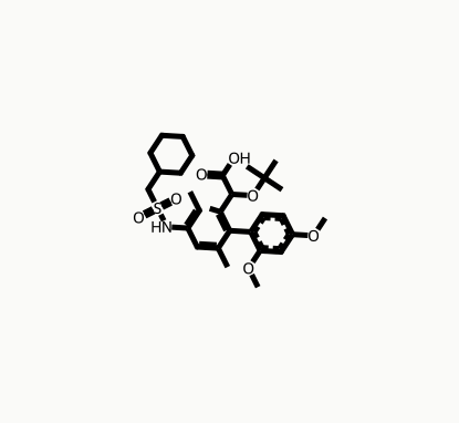 C/C=C(/C=C(C)\C(=C(/C)C(OC(C)(C)C)C(=O)O)c1ccc(OC)cc1OC)NS(=O)(=O)CC1CCCCC1